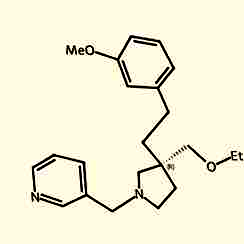 CCOC[C@]1(CCc2cccc(OC)c2)CCN(Cc2cccnc2)C1